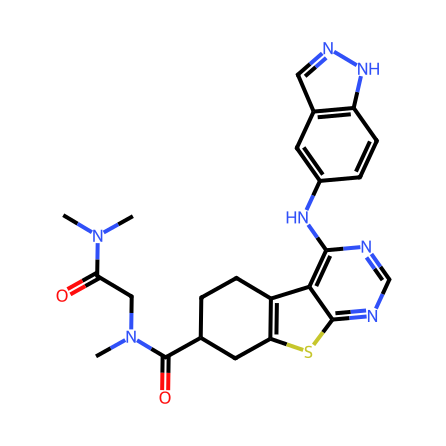 CN(C)C(=O)CN(C)C(=O)C1CCc2c(sc3ncnc(Nc4ccc5[nH]ncc5c4)c23)C1